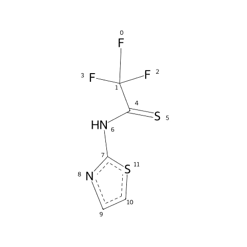 FC(F)(F)C(=S)Nc1nccs1